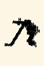 C=C1OCc2c(cc3n(c2=O)Cc2cc4c(CN(C)C(=O)OCc5ccc(NC(=O)[C@H](C)NC(=O)[C@@H](NC(=O)[C@H](CCCCNC(=O)CCC(C)=O)NC(=O)CCOCCOCCOCCOCCOCCOCCOCCOC)C(C)C)c(O[C@@H]6O[C@H](C(=O)O)[C@@H](O)[C@H](O)[C@H]6O)c5)c(O)ccc4nc2-3)[C@@]1(O)CC